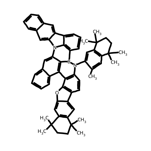 Cc1cc2c(cc1N1B3c4c(cc5ccccc5c4-c4c1ccc1c4oc4cc5c(cc41)C(C)(C)CCC5(C)C)-n1c4cc5ccccc5cc4c4cccc3c41)C(C)(C)CCC2(C)C